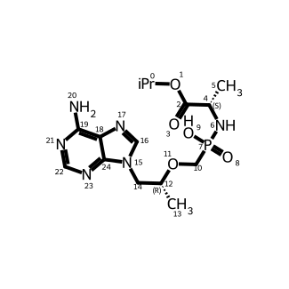 CC(C)OC(=O)[C@H](C)NP(=O)(O)CO[C@H](C)Cn1cnc2c(N)ncnc21